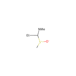 [CH2]NC(CC)[S+](C)[O-]